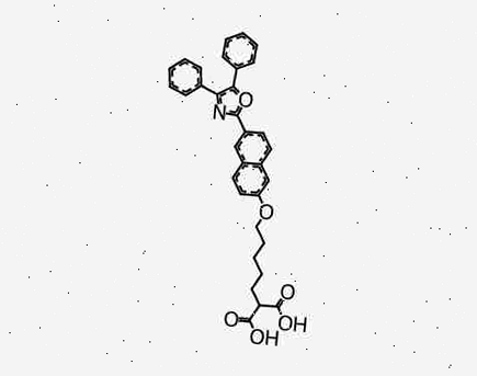 O=C(O)C(CCCCCOc1ccc2cc(-c3nc(-c4ccccc4)c(-c4ccccc4)o3)ccc2c1)C(=O)O